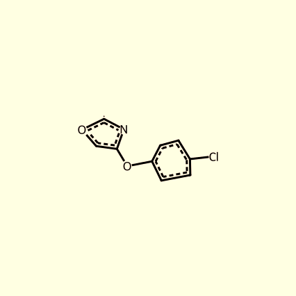 Clc1ccc(Oc2co[c]n2)cc1